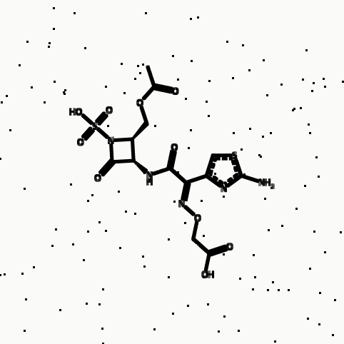 CC(=O)OC[C@H]1[C@@H](NC(=O)/C(=N/OCC(=O)O)c2csc(N)n2)C(=O)N1S(=O)(=O)O